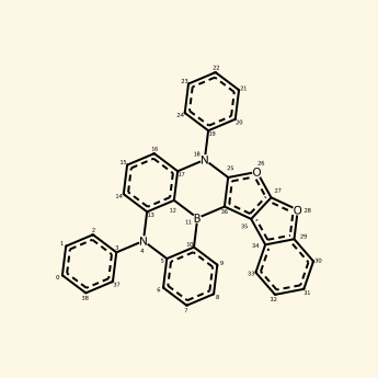 c1ccc(N2c3ccccc3B3c4c2cccc4N(c2ccccc2)c2oc4oc5ccccc5c4c23)cc1